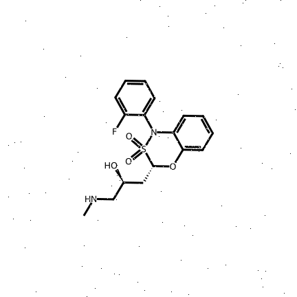 CNC[C@@H](O)C[C@H]1Oc2ccccc2N(c2ccccc2F)S1(=O)=O